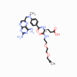 C#CCOCCOCCNC(=O)[C@H](CCC(=O)O)NC(=O)c1ccc(N(C)Cc2cnc3nc(N)nc(N)c3n2)cc1